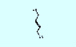 N#CCC=CCS